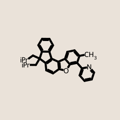 Cc1ccc2c(oc3ccc4c(c32)-c2ccccc2C4(CC(C)C)CC(C)C)c1-c1ccccn1